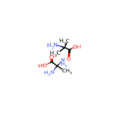 CC(C)(N)C(=O)O.CC(N)(N)C(=O)O